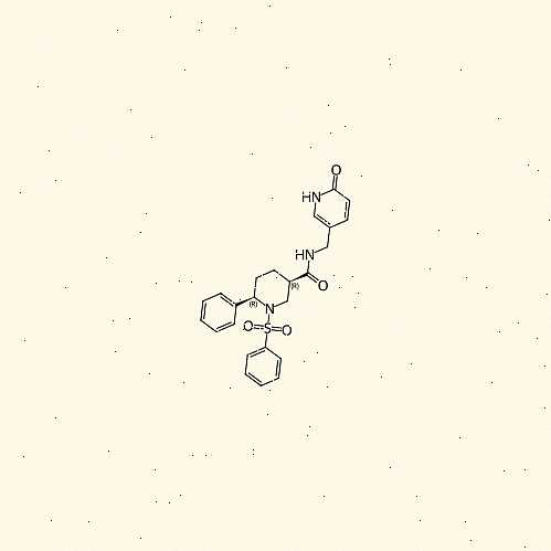 O=C(NCc1ccc(=O)[nH]c1)[C@@H]1CC[C@H](c2ccccc2)N(S(=O)(=O)c2ccccc2)C1